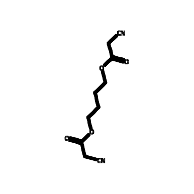 N#CCC(=O)OCCCCOC(=O)CC#N